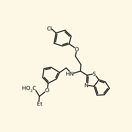 CCC(Oc1cccc(CNC(CCOc2ccc(Cl)cc2)c2nc3ccccc3s2)c1)C(=O)O